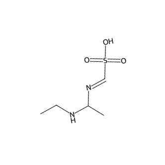 CCNC(C)N=CS(=O)(=O)O